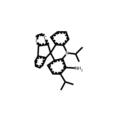 CC(C)c1ccc2c(c1N)N(C(C)C)c1ccccc1C21c2ccccc2-c2ccccc21